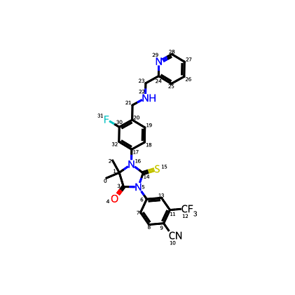 CC1(C)C(=O)N(c2ccc(C#N)c(C(F)(F)F)c2)C(=S)N1c1ccc(CNCc2ccccn2)c(F)c1